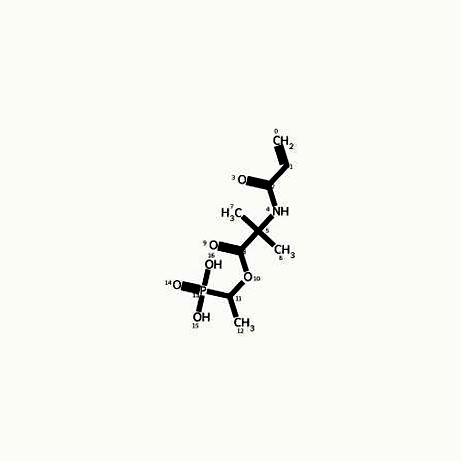 C=CC(=O)NC(C)(C)C(=O)OC(C)P(=O)(O)O